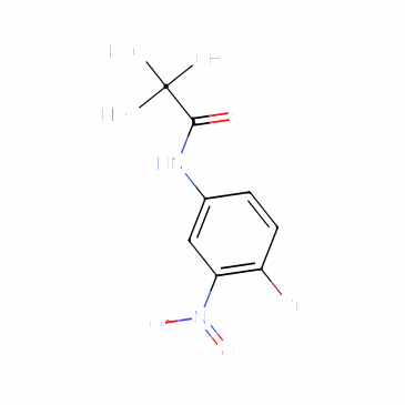 CC(C)(C)C(=O)Nc1ccc(Br)c([N+](=O)[O-])c1